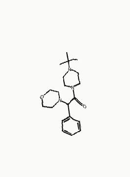 CC(C)(C)N1CCN(C(=O)C(c2ccccc2)N2CCOCC2)CC1